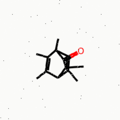 CC1=C(C)C2(C)C=CC1C(C)(C)C2=O